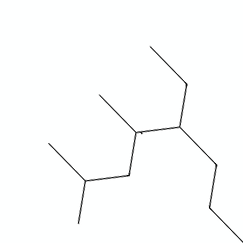 CCCC(CC)[C](C)CC(C)C